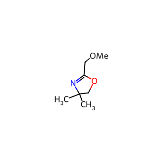 COCC1=NC(C)(C)CO1